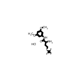 COc1cc(NC(=O)C(N)CCSC(F)(F)F)cc(OC)c1.Cl